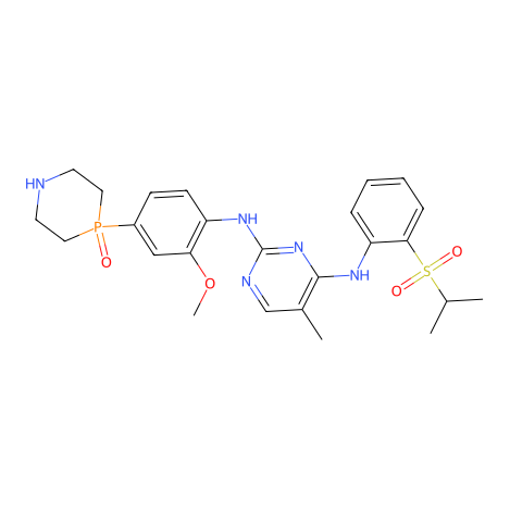 COc1cc(P2(=O)CCNCC2)ccc1Nc1ncc(C)c(Nc2ccccc2S(=O)(=O)C(C)C)n1